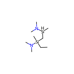 CC[Si](C)(C[SiH](C)N(C)C)N(C)C